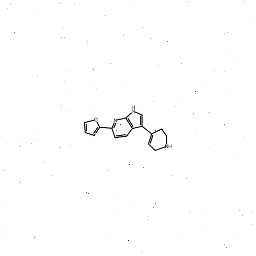 C1=C(c2c[nH]c3nc(-c4ccco4)ccc23)CCNC1